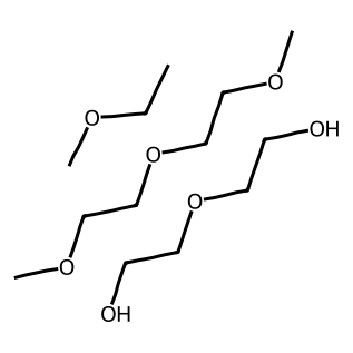 CCOC.COCCOCCOC.OCCOCCO